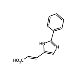 O=C(O)C=Cc1cnc(-c2ccccc2)[nH]1